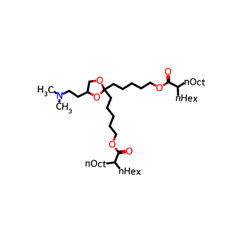 CCCCCCCCC(CCCCCC)C(=O)OCCCCCC1(CCCCCOC(=O)C(CCCCCC)CCCCCCCC)OCC(CCN(C)C)O1